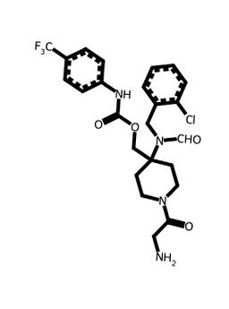 NCC(=O)N1CCC(COC(=O)Nc2ccc(C(F)(F)F)cc2)(N(C=O)Cc2ccccc2Cl)CC1